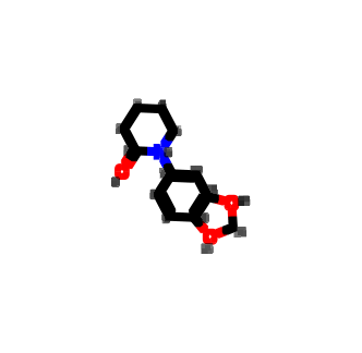 O=C1CCCCN1c1ccc2c(c1)OCO2